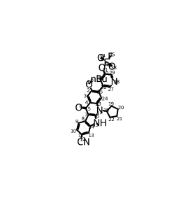 CCCCOc1cc2c(=O)c3c4ccc(C#N)cc4[nH]c3n(C3CCCC3)c2cc1-c1cncc(OS(=O)(=O)F)c1